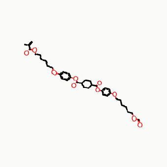 C=C(C)C(=O)OCCCCCCOc1ccc(OC(=O)C2CCC(C(=O)Oc3ccc(OCCCCCCOC=O)cc3)CC2)cc1